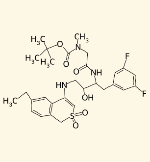 CCc1ccc2c(c1)C(NCC(O)C(Cc1cc(F)cc(F)c1)NC(=O)CN(C)C(=O)OC(C)(C)C)=CS(=O)(=O)C2